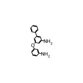 Nc1cccc(Oc2cc(N)cc(-c3ccccc3)c2)c1